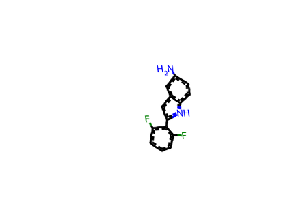 Nc1ccc2[nH]c(-c3c(F)cccc3F)cc2c1